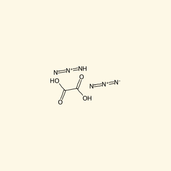 O=C(O)C(=O)O.[N-]=[N+]=N.[N-]=[N+]=[N-]